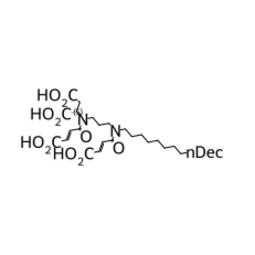 CCCCCCCCCCCCCCCCCCN(CCCN(C(=O)C=CC(=O)O)[C@@H](CC(=O)O)C(=O)O)C(=O)C=CC(=O)O